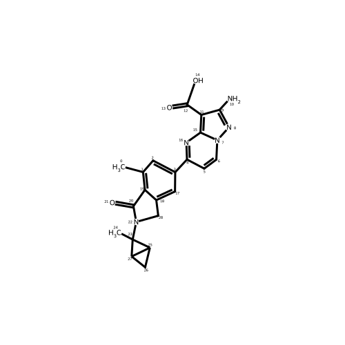 Cc1cc(-c2ccn3nc(N)c(C(=O)O)c3n2)cc2c1C(=O)N(C1(C)C3CC31)C2